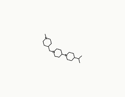 CC(C)C1CCN(C2CCN(CC3CCN(C)CC3)CC2)CC1